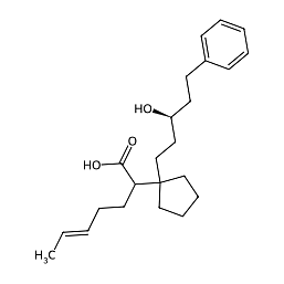 CC=CCCC(C(=O)O)C1(CC[C@@H](O)CCc2ccccc2)CCCC1